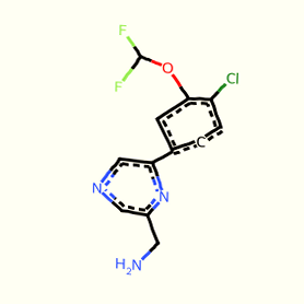 NCc1cncc(-c2ccc(Cl)c(OC(F)F)c2)n1